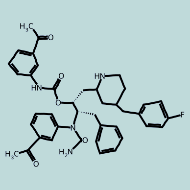 CC(=O)c1cccc(NC(=O)O[C@H](CC2CC(Cc3ccc(F)cc3)CCN2)[C@H](Cc2ccccc2)N(C(N)=O)c2cccc(C(C)=O)c2)c1